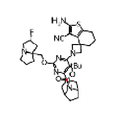 CC(C)(C)OC(=O)N1C2CCC1CN(c1cc(N3CC4(CCCc5sc(N)c(C#N)c54)C3)nc(OC[C@@]34CCCN3C[C@H](F)C4)n1)C2